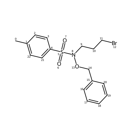 Cc1ccc(S(=O)(=O)N(CCCBr)OCc2ccccc2)cc1